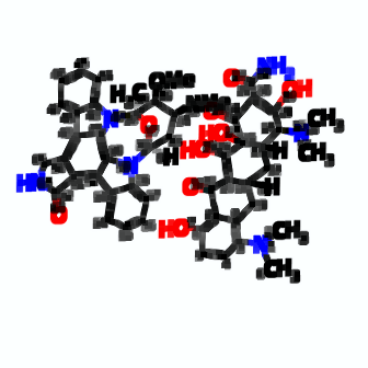 CN(C)c1ccc(O)c2c1C[C@H]1C[C@H]3[C@H](N(C)C)C(O)=C(C(N)=O)C(=O)[C@@]3(O)C(O)=C1C2=O.CN[C@H]1C[C@@H]2O[C@](C)([C@H]1OC)n1c3ccccc3c3c4c(c5c6ccccc6n2c5c31)C(=O)NC4